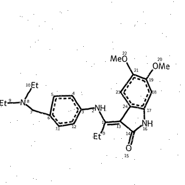 CCC(Nc1ccc(CN(CC)CC)cc1)=C1C(=O)Nc2cc(OC)c(OC)cc21